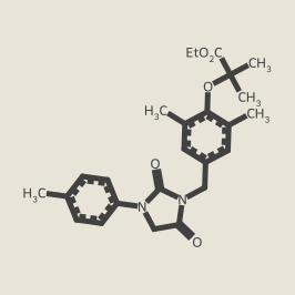 CCOC(=O)C(C)(C)Oc1c(C)cc(CN2C(=O)CN(c3ccc(C)cc3)C2=O)cc1C